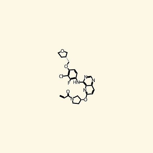 C=CC(=O)N1CC[C@H](Oc2ccc3ncnc(Nc4ccc(OC[C@@H]5CCOC5)c(Cl)c4F)c3n2)C1